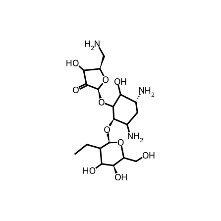 CCC1C(O)[C@H](O)C(CO)O[C@@H]1O[C@@H]1C(N)C[C@@H](N)C(O)C1O[C@@H]1O[C@H](CN)C(O)C1=O